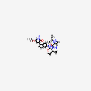 COc1c[nH]c(=O)c(C2CCc3cc(NC(=O)[C@@H](NC(=O)c4ccnn4C(C)C)C(C4CC4)C4CC4)ccc32)c1